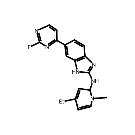 CCC1=CC(Nc2nc3ccc(-c4ccnc(F)n4)cc3[nH]2)N(C)C=C1